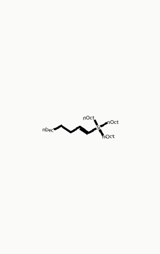 CCCCCCCCCCCC/C=C/[Si](CCCCCCCC)(CCCCCCCC)CCCCCCCC